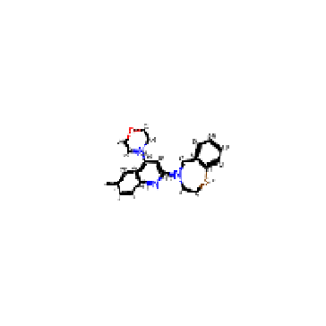 Cc1ccc2nc(N3CCSc4ccccc4C3)cc(N3CCOCC3)c2c1